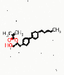 C=C(C)C(=O)OC(CO)CC1CCC(C2CCC(CCCCC)CC2)CC1